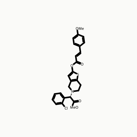 COC(=O)[C@H](c1ccccc1Cl)N1CCc2sc(OC(=O)/C=C/c3ccc(OC)cc3)cc2C1